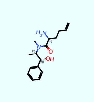 C=CCC[C@H](N)C(=O)N(C)[C@H](C)[C@H](O)c1ccccc1